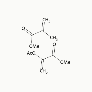 C=C(C)C(=O)OC.C=C(OC(C)=O)C(=O)OC